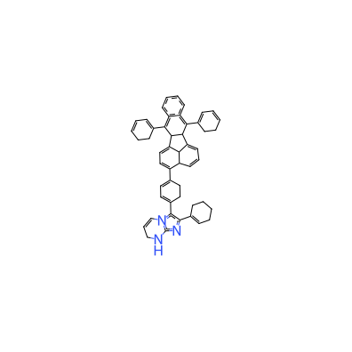 C1=CCCC(C2=c3ccccc3=C(C3=CC=CCC3)C3C4=CC=C(C5=CC=C(c6c(C7=CCCCC7)nc7n6C=CCN7)CC5)C5C=CC=C(C45)C23)=C1